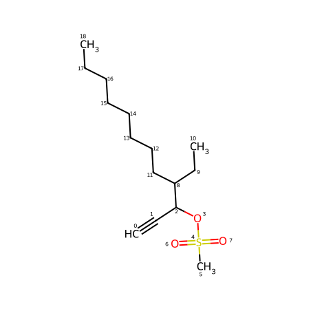 C#CC(OS(C)(=O)=O)C(CC)CCCCCCCC